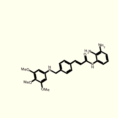 COc1cc(NCc2ccc(C=CC(=O)Nc3cccc(N)c3N)cc2)cc(OC)c1OC